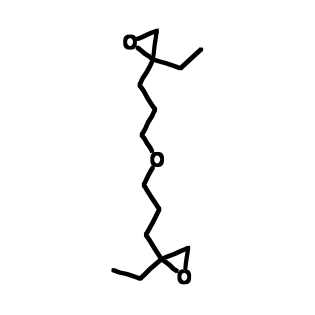 CCC1(CCCOCCCC2(CC)CO2)CO1